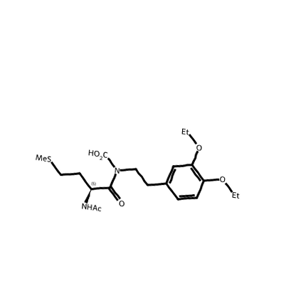 CCOc1ccc(CCN(C(=O)O)C(=O)[C@H](CCSC)NC(C)=O)cc1OCC